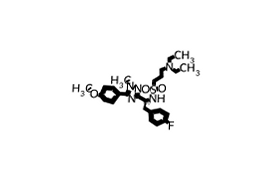 CCN(CC)CCCS(=O)(=O)N[C@@H](Cc1ccc(F)cc1)c1nc(-c2ccc(OC)cc2)n(C)n1